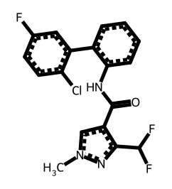 Cn1cc(C(=O)Nc2ccccc2-c2cc(F)ccc2Cl)c(C(F)F)n1